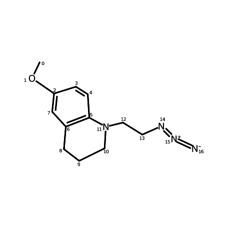 COc1ccc2c(c1)CCCN2CCN=[N+]=[N-]